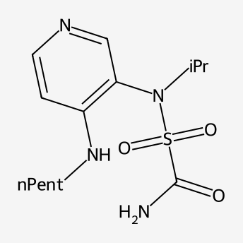 CCCCCNc1ccncc1N(C(C)C)S(=O)(=O)C(N)=O